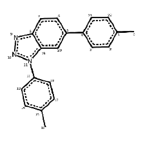 Cc1ccc(-c2ccc3nnn(-c4ccc(C)cc4)c3c2)cc1